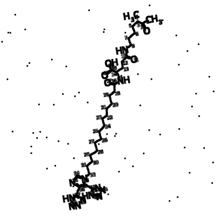 CC(=O)[C@@H](C)CCCCNC(=O)CCC(NC(=O)CCCCCCCCCCCCCCCn1cnc(-c2nnn[nH]2)c1-c1nnn[nH]1)C(=O)O